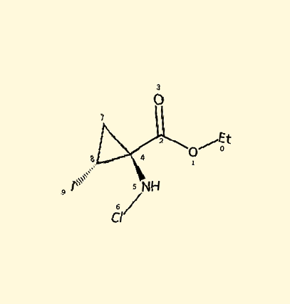 CCOC(=O)[C@@]1(NCl)C[C@H]1I